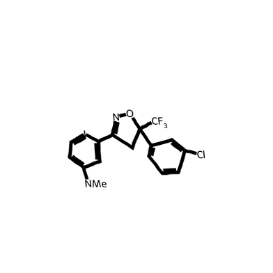 CNC1=CC=IC(C2=NOC(c3cccc(Cl)c3)(C(F)(F)F)C2)=C1